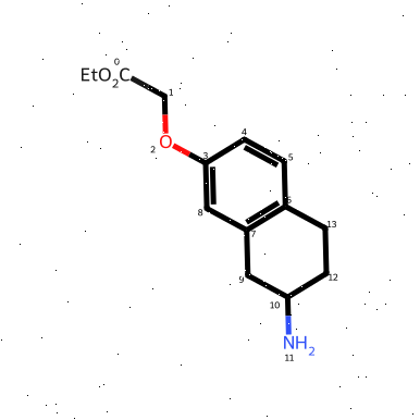 CCOC(=O)COc1ccc2c(c1)CC(N)CC2